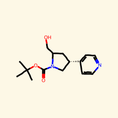 CC(C)(C)OC(=O)N1C[C@@H](c2ccncc2)CC1CO